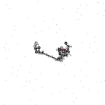 C=C(CC)[C@@H]([C@@H](CC(=O)N1CCC[C@H]1[C@H](OC)[C@@H](C)C(=O)N[C@@H](C)Cc1ccccc1)OC)N(C)C(=O)[C@@H](NC(=O)[C@H](C(C)C)N(C)C(=O)OCc1ccc(NC(=O)[C@H](CCCNC(N)=O)NC(=O)[C@@H](NC(=O)CCOCCOCCOCCOCCNC(=O)CCC(=O)N2Cc3ccccc3-c3c(nnn3CC(=O)NCC(C)C)-c3ccccc32)C(C)C)cc1)C(C)C